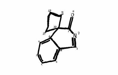 O=C1N=Cc2ccccc2C12CCC2